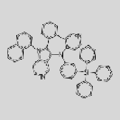 c1ccc([Si](c2ccccc2)(c2ccccc2)c2cccc(N3c4ccncc4-c4ccccc4-c4c3c3cnccc3n4-c3cccc4ccccc34)c2)cc1